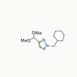 COC(OC)c1ccn(CC2CCCCC2)n1